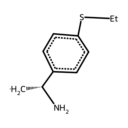 [CH2][C@@H](N)c1ccc(SCC)cc1